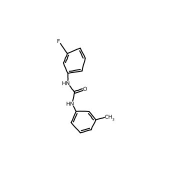 Cc1cccc(NC(=O)Nc2cccc(F)c2)c1